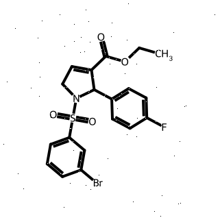 CCOC(=O)C1=CCN(S(=O)(=O)c2cccc(Br)c2)C1c1ccc(F)cc1